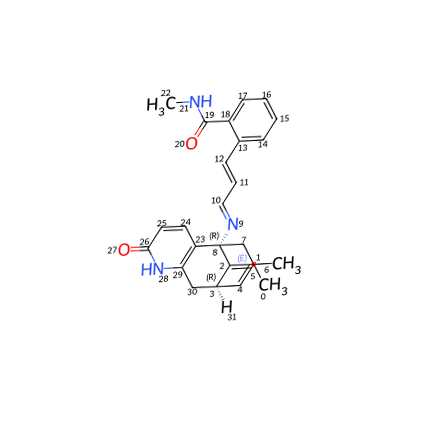 C/C=C1\[C@H]2C=C(C)C[C@]1(N=CC=Cc1ccccc1C(=O)NC)c1ccc(=O)[nH]c1C2